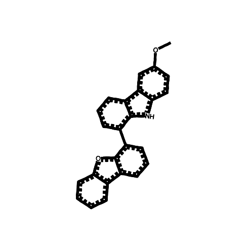 COc1ccc2[nH]c3c(-c4cccc5c4oc4ccccc45)cccc3c2c1